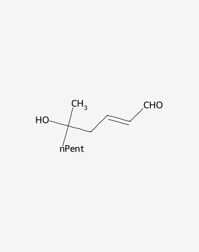 CCCCCC(C)(O)CC=CC=O